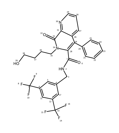 O=C(NCc1cc(C(F)(F)F)cc(C(F)(F)F)c1)c1c(-c2ccccc2)c2cccnc2c(=O)n1CCCCO